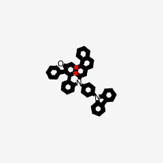 c1ccc(N(c2ccc(-n3c4ccccc4c4ccccc43)cc2)c2ccc3c(ccc4ccccc43)c2)c(-c2cccc3oc4ccccc4c23)c1